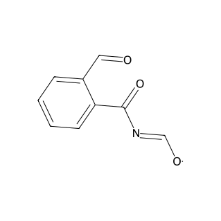 [O]C=NC(=O)c1ccccc1C=O